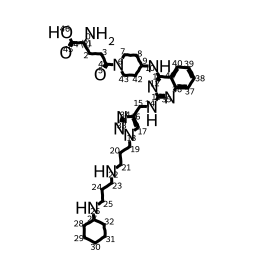 N[C@H](CCC(=O)N1CCC(Nc2nc(NCc3cn(CCCNCCCNC4CCCCC4)nn3)nc3ccccc23)CC1)C(=O)O